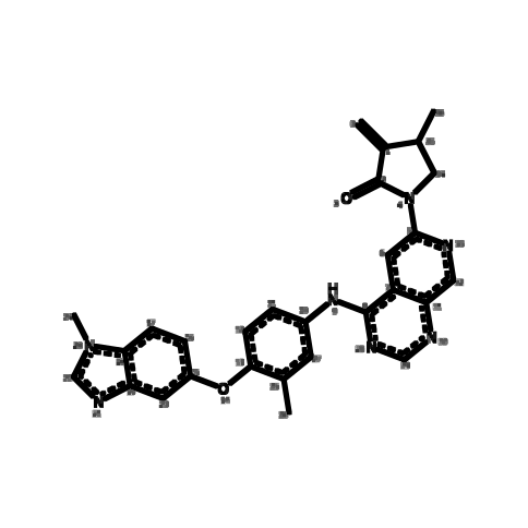 C=C1C(=O)N(c2cc3c(Nc4ccc(Oc5ccc6c(c5)ncn6C)c(C)c4)ncnc3cn2)CC1C